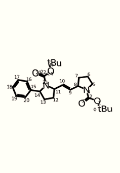 CC(C)(C)OC(=O)N1CCCC1/C=C/C1CCC(c2ccccc2)N1C(=O)OC(C)(C)C